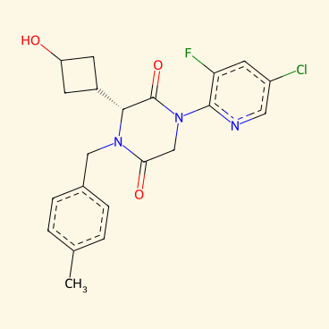 Cc1ccc(CN2C(=O)CN(c3ncc(Cl)cc3F)C(=O)[C@H]2C2CC(O)C2)cc1